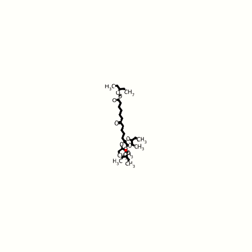 CCC(CC)OOC(=O)CCCCCC(=O)CCCCC(OC(CC)CC)(OC(CC)CC)C(=O)OOC(CC)CC